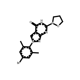 Cc1cc(Br)cc(C)c1-n1cc2c(=O)[nH]c(N3CCCO3)nc2n1